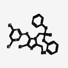 CC(C)c1nc(CO)n(CP(=O)(Oc2ccccc2)Oc2ccccc2)c1Sc1cc(Cl)cc(Cl)c1